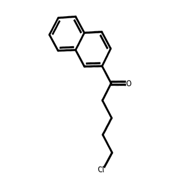 O=C(CCCCCl)c1ccc2ccccc2c1